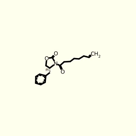 C=CCCCCCC(=O)N1C(=O)OC[C@H]1Cc1ccccc1